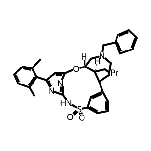 Cc1cccc(C)c1-c1cc2nc(n1)NS(=O)(=O)c1cccc(c1)C1CCN(Cc3ccccc3)C[C@@H](O2)[C@H]1CC(C)C